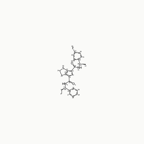 CC[C@@H](NC(=O)c1cc(C(=O)N[C@H](C)c2ccc(F)cc2)c2n1CCS2)c1ccccc1